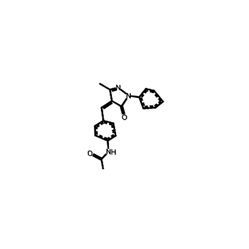 CC(=O)Nc1ccc(/C=C2\C(=O)N(c3ccccc3)N=C2C)cc1